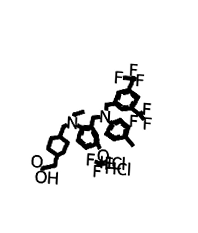 CCN(CC1CCC(CC(=O)O)CC1)c1ccc(OC(F)(F)F)cc1CN(Cc1cc(C(F)(F)F)cc(C(F)(F)F)c1)c1ccc(C)cc1.Cl.Cl